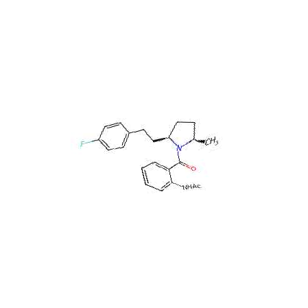 CC(=O)Nc1ccccc1C(=O)N1[C@@H](CCc2ccc(F)cc2)CC[C@H]1C